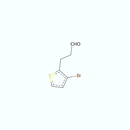 O=CCCc1sccc1Br